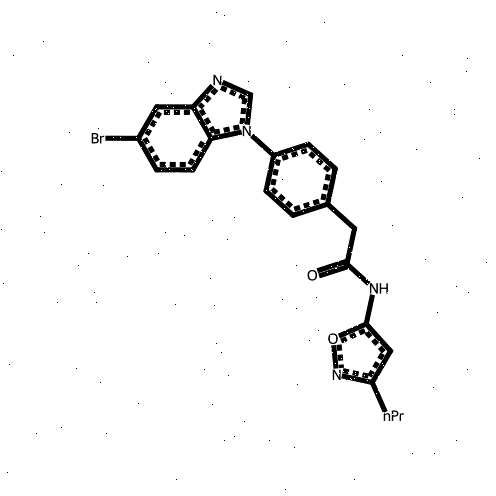 CCCc1cc(NC(=O)Cc2ccc(-n3cnc4cc(Br)ccc43)cc2)on1